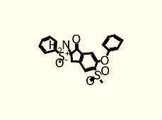 CS(=O)(=O)c1cc2c(cc1Oc1ccccc1)C(=O)C(N)([S+]([O-])c1ccccc1)C2